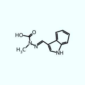 CN(N=Cc1c[nH]c2ccccc12)C(=O)O